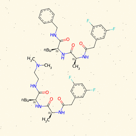 CCCC[C@H](NC(=O)[C@H](C)NC(=O)Cc1cc(F)cc(F)c1)C(=O)NCCN(C)C.CCCC[C@H](NC(=O)[C@H](C)NC(=O)Cc1cc(F)cc(F)c1)C(=O)NCc1ccccc1